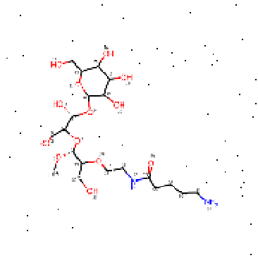 CC(C)O[C@H](OC(CO)[C@H](O)OC1OC(CO)C(O)C(O)C1O)C(CO)OCCNC(=O)CCCCN